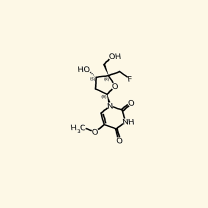 COc1cn([C@H]2C[C@H](O)[C@](CO)(CF)O2)c(=O)[nH]c1=O